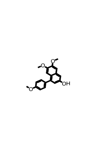 COc1ccc(-c2cc(O)cc3cc(OC)c(OC)cc23)cc1